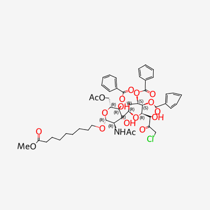 COC(=O)CCCCCCCCO[C@@H]1O[C@H](COC(C)=O)[C@@H](O)[C@@](O)([C@@H]2O[C@H](C(O)C(=O)CCl)[C@H](OC(=O)c3ccccc3)[C@H](OC(=O)c3ccccc3)[C@H]2OC(=O)c2ccccc2)[C@H]1NC(C)=O